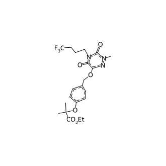 CCOC(=O)C(C)(C)Oc1ccc(COc2nn(C)c(=O)n(CCCC(F)(F)F)c2=O)cc1